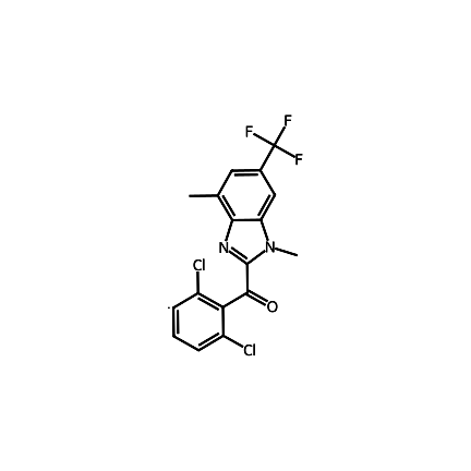 Cc1cc(C(F)(F)F)cc2c1nc(C(=O)c1c(Cl)[c]ccc1Cl)n2C